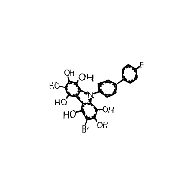 Oc1c(O)c(O)c2c(c1O)c1c(O)c(Br)c(O)c(O)c1n2-c1ccc(-c2ccc(F)cc2)cc1